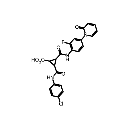 O=C(O)C1C(C(=O)Nc2ccc(Cl)cc2)C1C(=O)Nc1ccc(-n2ccccc2=O)cc1F